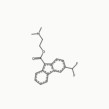 CN(C)CCOC(=O)c1c2ccccc2n2cc(C(F)F)ccc12